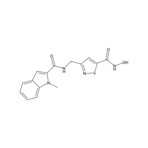 Cn1c(C(=O)NCc2cc(C(=O)NO)sn2)cc2ccccc21